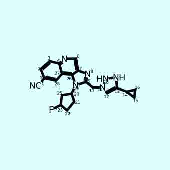 N#Cc1ccc2ncc3nc(CN4C=C(C5CC5)NN4)n(C4CCC(F)C4)c3c2c1